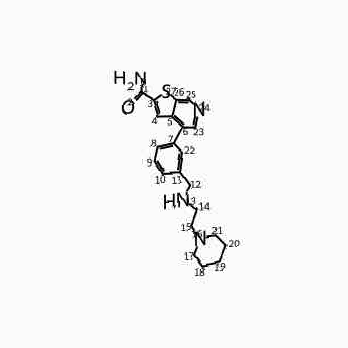 NC(=O)c1cc2c(-c3cccc(CNCCN4CCCCC4)c3)cncc2s1